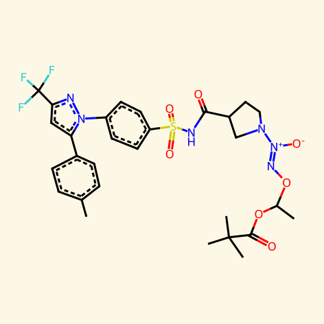 Cc1ccc(-c2cc(C(F)(F)F)nn2-c2ccc(S(=O)(=O)NC(=O)C3CCN([N+]([O-])=NOC(C)OC(=O)C(C)(C)C)C3)cc2)cc1